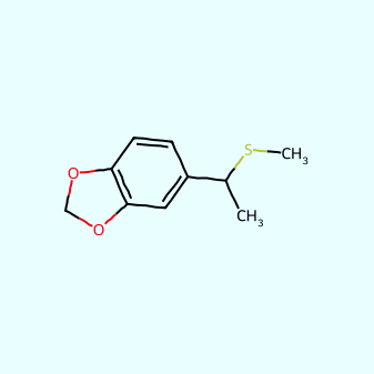 CSC(C)c1ccc2c(c1)OCO2